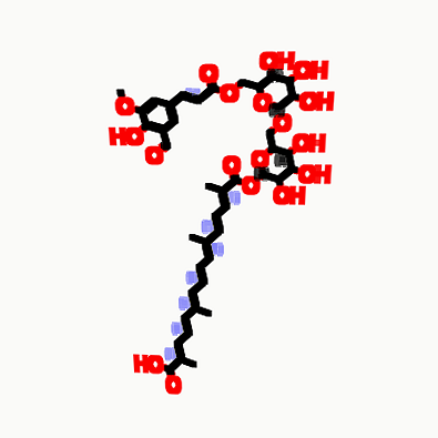 COc1cc(/C=C/C(=O)OCC2O[C@@H](OCC3O[C@@H](OC(=O)/C(C)=C/C=C/C(C)=C/C=C/C=C(C)/C=C/C=C(\C)C(=O)O)C(O)C(O)[C@@H]3O)C(O)C(O)[C@@H]2O)cc(C=O)c1O